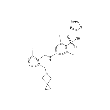 O=S(=O)(Nc1cscn1)c1c(F)cc(NCc2c(F)cccc2CN2CC3(CC3)C2)cc1F